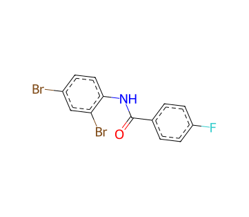 O=C(Nc1ccc(Br)cc1Br)c1ccc(F)cc1